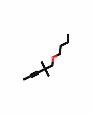 CC#CC(C)(C)COCCCC